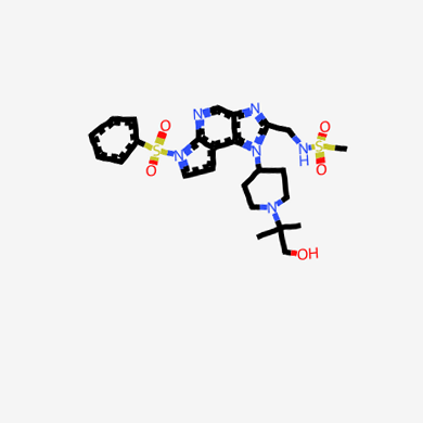 CC(C)(CO)N1CCC(n2c(CNS(C)(=O)=O)nc3cnc4c(ccn4S(=O)(=O)c4ccccc4)c32)CC1